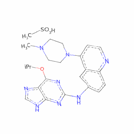 CC(C)Oc1nc(Nc2ccc3nccc(N4CCN(C)CC4)c3c2)nc2[nH]cnc12.CS(=O)(=O)O